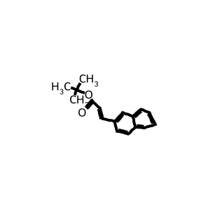 CC(C)(C)OC(=O)C=Cc1ccc2ccccc2c1